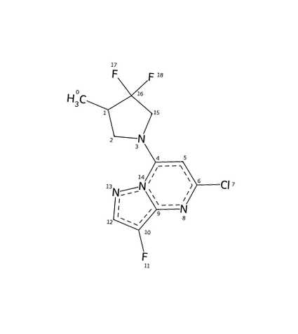 CC1CN(c2cc(Cl)nc3c(F)cnn23)CC1(F)F